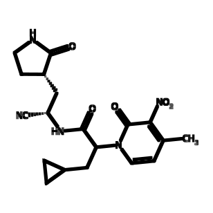 Cc1ccn(C(CC2CC2)C(=O)N[C@H](C#N)C[C@@H]2CCNC2=O)c(=O)c1[N+](=O)[O-]